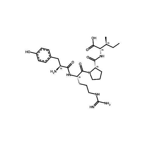 CC[C@H](C)[C@H](NC(=O)[C@@H]1CCCN1C(=O)[C@H](CCCNC(=N)N)NC(=O)[C@@H](N)Cc1ccc(O)cc1)C(=O)O